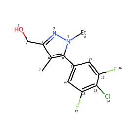 CCn1nc(CO)c(C)c1-c1cc(F)c(Cl)c(F)c1